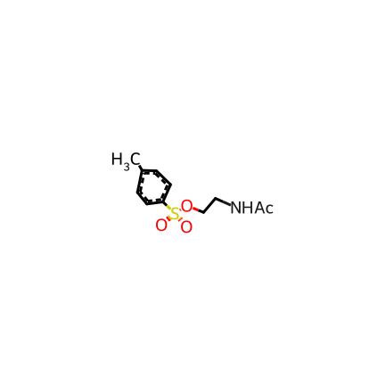 CC(=O)NCCOS(=O)(=O)c1ccc(C)cc1